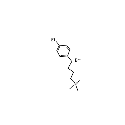 CCc1ccc(CCCC[N+](C)(C)C)cc1.[Br-]